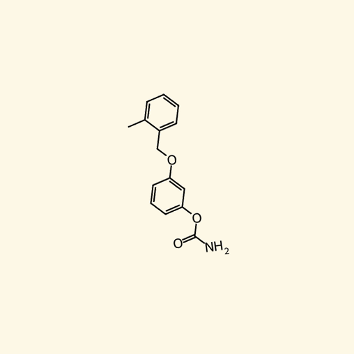 Cc1ccccc1COc1cccc(OC(N)=O)c1